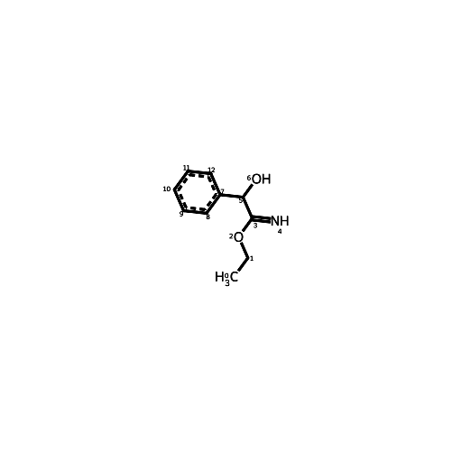 CCOC(=N)C(O)c1ccccc1